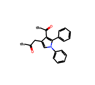 CC(C)(C)C(=O)Cc1cn(-c2ccccc2)c(-c2ccccc2)c1C(=O)C(C)(C)C